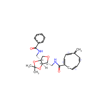 C=C1/C=C\C=C/C/C(C(=O)NC[C@H]2OC[C@]3(CNC(=O)c4ccccc4)OC(C)(C)O[C@H]23)=C\C=C/1